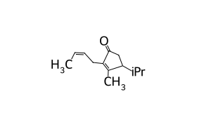 C/C=C\CC1=C(C)C(C(C)C)CC1=O